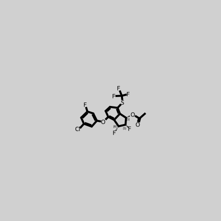 CC(=O)O[C@H]1c2c(SC(F)(F)F)ccc(Oc3cc(F)cc(Cl)c3)c2[C@@H](F)[C@H]1F